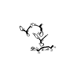 CC(=O)[O-].CC(=O)[O-].CC(=O)[O-].CCC[CH2][Sn+3]